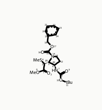 COC(=O)C(SC)[C@H]1[C@H](NC(=O)OC(C)(C)C)CCN1C(=O)OCc1ccccc1